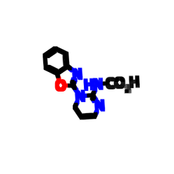 O=C(O)NC1=NC=CCN1c1nc2ccccc2o1